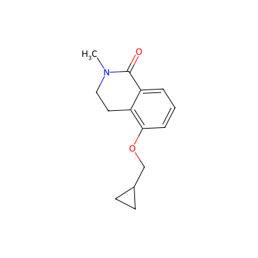 CN1CCc2c(OCC3CC3)cccc2C1=O